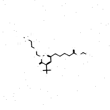 CCOC(=O)CCCCc1cc(C(F)(F)F)c(=O)n(COCC[Si](C)(C)C)n1